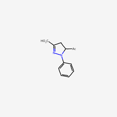 CC(=O)C1CC(C(=O)O)=NN1c1ccccc1